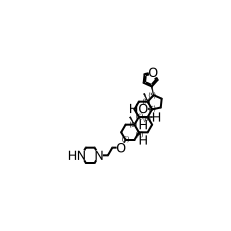 C[C@]12CC[C@H](OCCN3CCNCC3)C[C@H]1CC[C@@H]1[C@@H]2CC[C@]2(C)[C@@H](c3ccoc3)CC[C@]12O